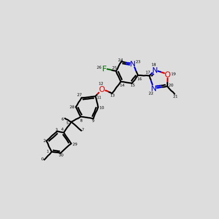 Cc1ccc(C(C)(C)c2ccc(OCc3cc(-c4noc(C)n4)ncc3F)cc2)cc1